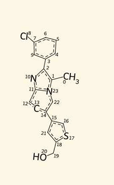 Cc1c(-c2cccc(Cl)c2)nc2ccc(-c3csc(CO)c3)cn12